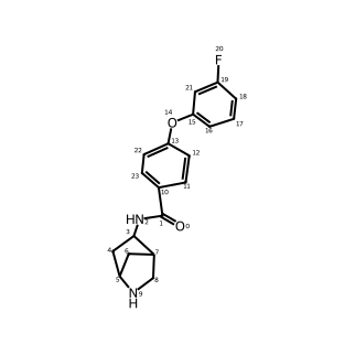 O=C(NC1CC2CC1CN2)c1ccc(Oc2cccc(F)c2)cc1